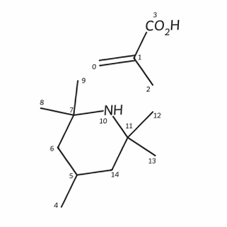 C=C(C)C(=O)O.CC1CC(C)(C)NC(C)(C)C1